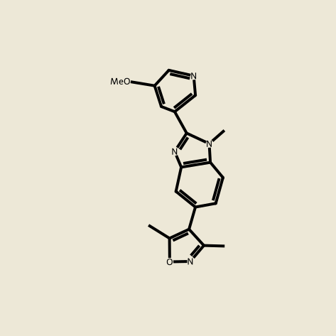 COc1cncc(-c2nc3cc(-c4c(C)noc4C)ccc3n2C)c1